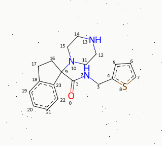 O=C(NCc1cccs1)C1(N2CCNCC2)CCc2ccccc21